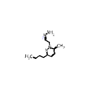 C=C1C=CC(CCCC)=NN1C/C=N\N